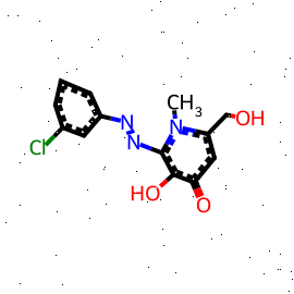 Cn1c(CO)cc(=O)c(O)c1N=Nc1cccc(Cl)c1